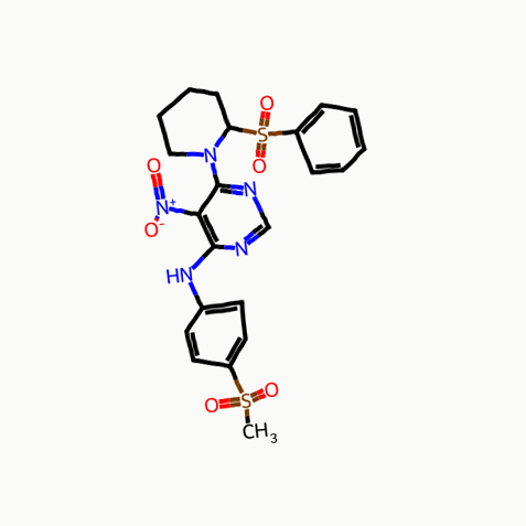 CS(=O)(=O)c1ccc(Nc2ncnc(N3CCCCC3S(=O)(=O)c3ccccc3)c2[N+](=O)[O-])cc1